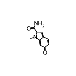 CN1C2=CC(=O)C=CC2=CC1C(N)=O